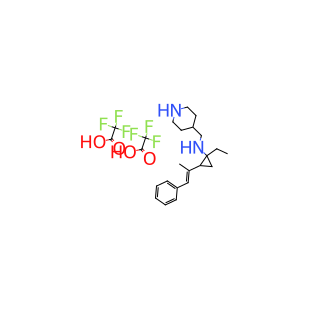 CCC1(NCC2CCNCC2)CC1/C(C)=C/c1ccccc1.O=C(O)C(F)(F)F.O=C(O)C(F)(F)F